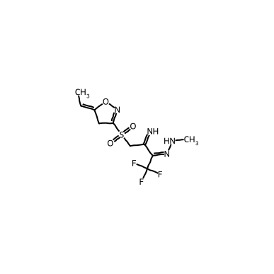 C/C=C1/CC(S(=O)(=O)CC(=N)/C(=N\NC)C(F)(F)F)=NO1